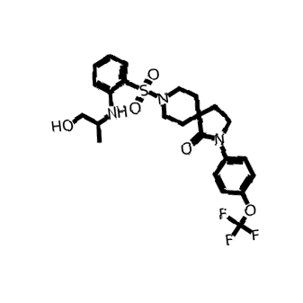 CC(CO)Nc1ccccc1S(=O)(=O)N1CCC2(CCN(c3ccc(OC(F)(F)F)cc3)C2=O)CC1